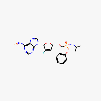 CCOC(=O)C(C)NP(=O)(CO[C@@H]1C=C(F)[C@H](n2cnc3c(N=P)ncnc32)O1)Oc1ccccc1